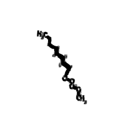 CCCCCCCCOOOOC